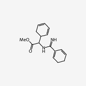 COC(=O)C(NC(=N)C1=CCCC=C1)C1C=CC=CC1